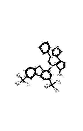 CC1C=CC(c2ccoc2)=[C]1[Zr](=[CH]Cc1ccccc1)[c]1cc(C(C)(C)C)cc2c1Cc1ccc(C(C)(C)C)cc1-2